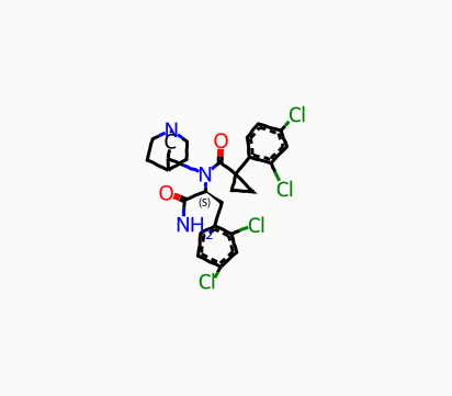 NC(=O)[C@H](Cc1ccc(Cl)cc1Cl)N(C(=O)C1(c2ccc(Cl)cc2Cl)CC1)C1CN2CCC1CC2